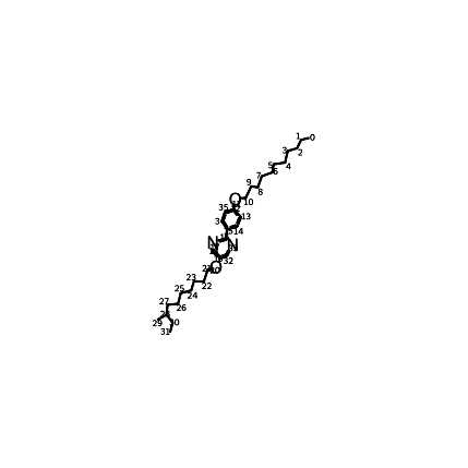 CCCCCCCCCCCOc1ccc(-c2ncc(OCCCCCCCC(C)CC)cn2)cc1